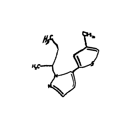 CCC(C)n1nccc1-c1cc(C)cs1